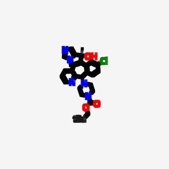 Cn1cncc1[C@@](C)(O)C1=Cc2cccnc2[C@@H](N2CCN(C(=O)OCC(C)(C)C)CC2)c2ccc(Cl)cc21